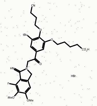 Br.COc1cc2c(c(F)c1OC)C(=N)N(CC(=O)c1cc(OCCCCC(=O)O)c(OCCCC#N)c(C(C)(C)C)c1)C2